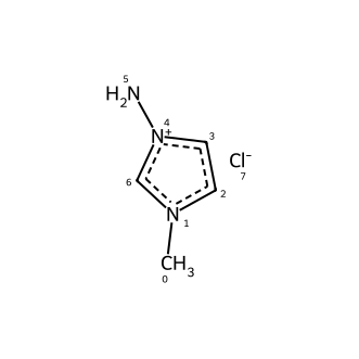 Cn1cc[n+](N)c1.[Cl-]